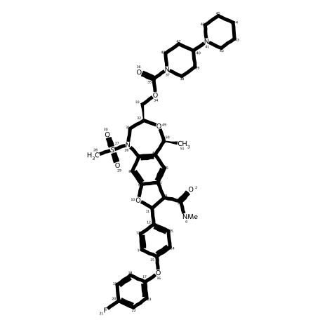 CNC(=O)C1c2cc3c(cc2OC1c1ccc(Oc2ccc(F)cc2)cc1)N(S(C)(=O)=O)C[C@@H](COC(=O)N1CCC(N2CCCCC2)CC1)O[C@H]3C